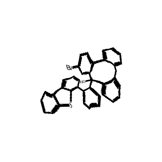 OC1(c2ccccc2-c2cccc3c2sc2ccccc23)c2ccccc2-c2ccccc2-c2ccc(Br)cc21